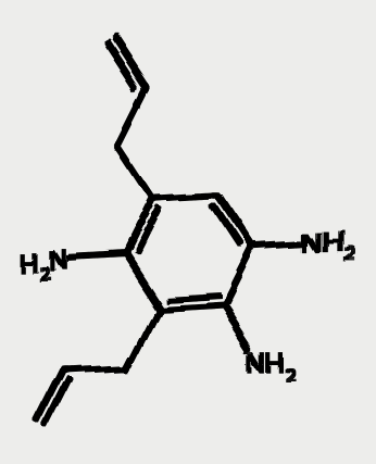 C=CCc1cc(N)c(N)c(CC=C)c1N